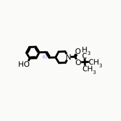 CC(C)(C)OC(=O)N1CCC(/C=C/c2cccc(O)c2)CC1